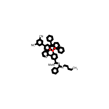 C\C=C/C=C\N=C(/N=C(\NC)c1ccc(-n2c3ccccc3c3cc(-c4cc(C#N)cc(C#N)c4)ccc32)c(-c2ncccc2-c2nc(-c3ccccc3)nc(-c3ccccc3)n2)c1)c1ccccc1